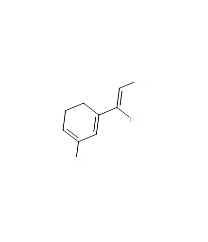 N/C(=C\S)C1=CC(O)=CCC1